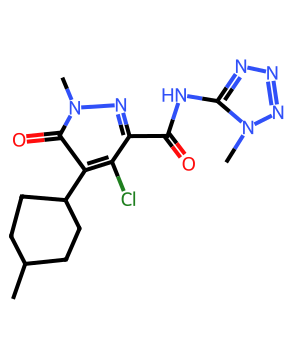 CC1CCC(c2c(Cl)c(C(=O)Nc3nnnn3C)nn(C)c2=O)CC1